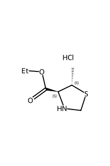 CCOC(=O)[C@@H]1NCS[C@H]1C.Cl